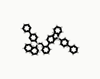 c1ccc(-c2ccc(N(Cc3ccccc3-c3ccc4c5ccccc5n(-c5ccc(-c6ccccc6)cc5)c4c3)c3cccc4ccccc34)cc2)cc1